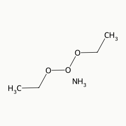 CCOOOCC.N